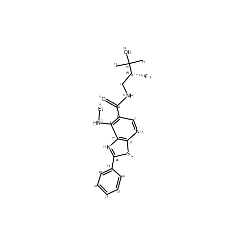 CCNc1c(C(=O)NC[C@@H](F)C(C)(C)O)cnc2sc(-c3ccccc3)nc12